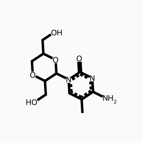 Cc1cn(C2OC(CO)COC2CO)c(=O)nc1N